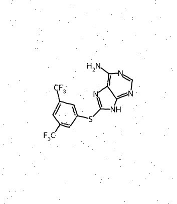 Nc1ncnc2[nH]c(Sc3cc(C(F)(F)F)cc(C(F)(F)F)c3)nc12